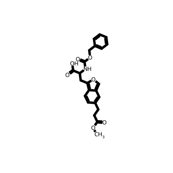 COC(=O)CCc1ccc2c(CC(NC(=O)OCc3ccccc3)C(=O)O)occ2c1